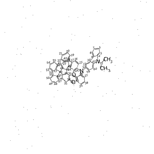 CC(C)n1c2ccccc2c2cc(N(c3ccc(-c4ccccc4)cc3)c3cccc4c3Oc3c(ccc5c3-c3ccccc3C53c5ccccc5-c5ccccc53)O4)ccc21